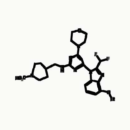 CCOc1cccc2c1nc(C(F)F)n2-c1cc(N2CCOCC2)nc(NCC2CCN(C(=O)O)CC2)n1